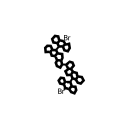 Brc1c2ccccc2c(-c2c3ccccc3cc3c2ccc2c(-c4cccc5c4ccc4c(-c6c7ccccc7c(Br)c7ccccc67)c6ccccc6cc45)cccc23)c2ccccc12